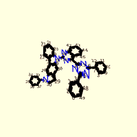 c1ccc(-c2nc(-c3ccccc3)nc(-c3nc(-n4c5ccccc5c5cc6c(ccn6-c6ccccc6)cc54)nc4ccccc34)n2)cc1